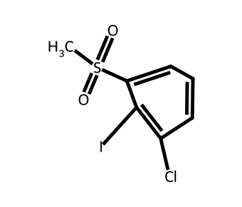 CS(=O)(=O)c1cccc(Cl)c1I